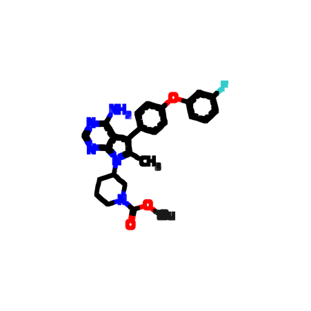 Cc1c(-c2ccc(Oc3cccc(F)c3)cc2)c2c(N)ncnc2n1C1CCCN(C(=O)OC(C)(C)C)C1